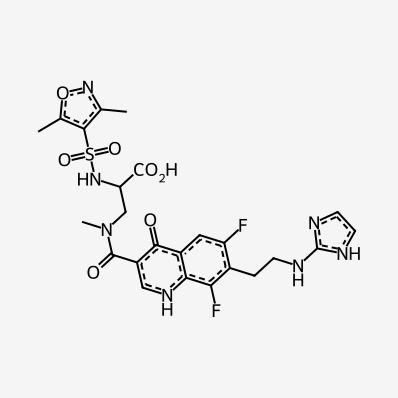 Cc1noc(C)c1S(=O)(=O)NC(CN(C)C(=O)c1c[nH]c2c(F)c(CCNc3ncc[nH]3)c(F)cc2c1=O)C(=O)O